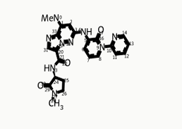 CNc1cc(Nc2cccn(-c3ccccn3)c2=O)nn2c(C(=O)N[C@H]3CCN(C)C3=O)cnc12